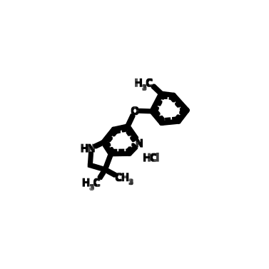 Cc1ccccc1Oc1cc2c(cn1)C(C)(C)CN2.Cl